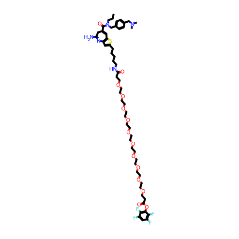 CCCN(Cc1ccc(CN(C)C)cc1)C(=O)C1=Cc2sc(CCCCCNC(=O)CCOCCOCCOCCOCCOCCOCCOCCOCCOCCOCCC(=O)Oc3c(F)c(F)cc(F)c3F)cc2N=C(N)C1